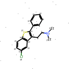 CCN(CC)CCc1c(-c2ccccc2)sc2ccc(Cl)cc12